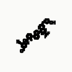 Cc1c(-c2nc3cc(C=O)cc(C#N)c3o2)cccc1-c1cccc2c1CCN2c1nc(C(F)F)nc2cc(CN3CC[C@@H](O)C3)cnc12